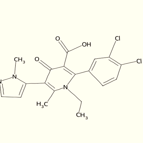 CCn1c(C)c(-c2ccnn2C)c(=O)c(C(=O)O)c1-c1ccc(Cl)c(Cl)c1